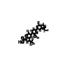 CCn1ncc2c(F)cc(-c3ccc(C(C=C4C(=O)N(C(=O)O)CC4C(C)(C)C)C(C)C)c(OC)n3)cc21